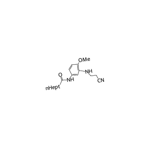 CCCCCCCC(=O)Nc1ccc(OC)c(NCCC#N)c1